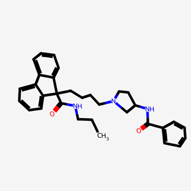 CCCNC(=O)C1(CCCCN2CCC(NC(=O)c3ccccc3)C2)c2ccccc2-c2ccccc21